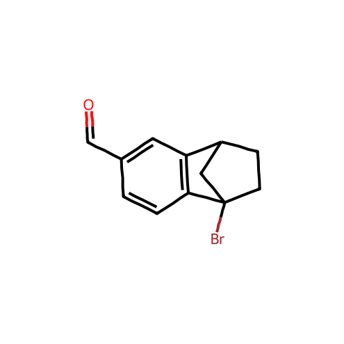 O=Cc1ccc2c(c1)C1CCC2(Br)C1